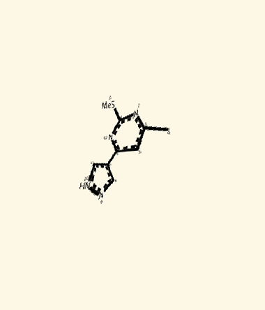 CSc1nc(C)cc(-c2cn[nH]c2)n1